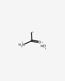 CC(N)=O.Cl